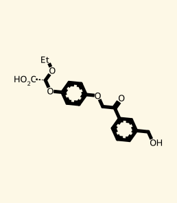 CCO[C@H](Oc1ccc(OCC(=O)c2cccc(CO)c2)cc1)C(=O)O